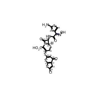 Nc1nc(/C(=N\O)C(=O)NC2C(=O)N3C(C(=O)O)=C(Sc4cc(=O)c5cc(Cl)sc5s4)CS[C@H]23)cs1